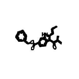 CCCc1[nH]c2cc(C(=O)OCc3ccccc3)ccc2c1C(=O)C(C)C